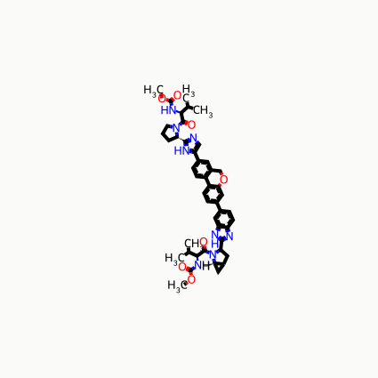 COC(=O)N[C@H](C(=O)N1CCC[C@H]1c1ncc(-c2ccc3c(c2)COc2cc(-c4ccc5nc(C6CC7C[C@H]7N6C(=O)[C@@H](NC(=O)OC)C(C)C)[nH]c5c4)ccc2-3)[nH]1)C(C)C